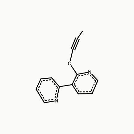 CC#COc1ncccc1-c1ccccn1